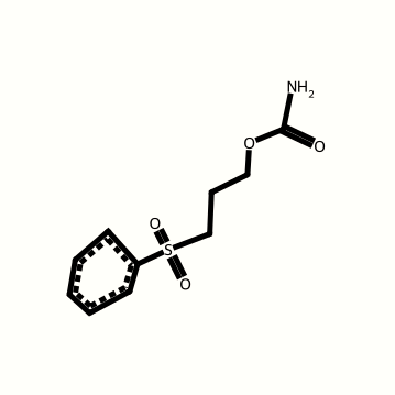 NC(=O)OCCCS(=O)(=O)c1ccccc1